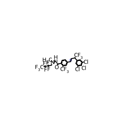 CN(CC(F)(F)C(F)(F)C(F)(F)F)NC(=O)c1ccc(/C=C/C(c2cc(Cl)c(Cl)c(Cl)c2)C(F)(F)F)cc1C(F)(F)F